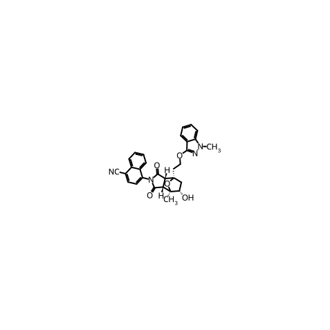 Cn1nc(OCC[C@]23C[C@H](O)[C@](C)(O2)[C@@H]2C(=O)N(c4ccc(C#N)c5ccccc45)C(=O)[C@@H]23)c2ccccc21